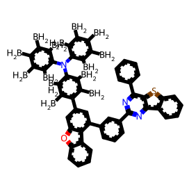 Bc1c(B)c(B)c(N(c2c(B)c(B)c(B)c(B)c2B)c2c(B)c(B)c(-c3cc(-c4cccc(-c5nc(-c6ccccc6)c6sc7ccccc7c6n5)c4)c4c(c3)oc3ccccc34)c(B)c2B)c(B)c1B